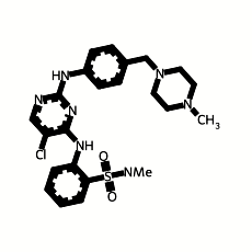 CNS(=O)(=O)c1ccccc1Nc1nc(Nc2ccc(CN3CCN(C)CC3)cc2)ncc1Cl